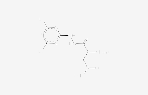 CCCCCC(CN(O)C=O)C(=O)NNc1nc(CC)nc(CC)n1